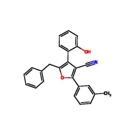 Cc1cccc(-c2oc(Cc3ccccc3)c(-c3ccccc3O)c2C#N)c1